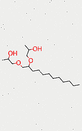 CCCCCCCCCCC(COCC(C)O)OCC(C)O